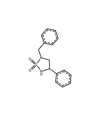 O=S1(=O)NC(c2ccccc2)CN1Cc1ccccc1